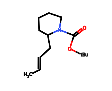 CC=CCC1CCCCN1C(=O)OC(C)(C)C